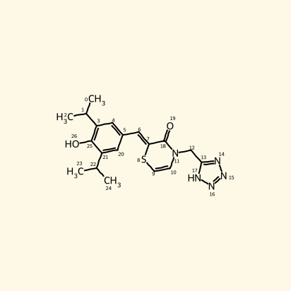 CC(C)c1cc(C=C2SC=CN(Cc3nnn[nH]3)C2=O)cc(C(C)C)c1O